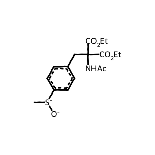 CCOC(=O)C(Cc1ccc([S+](C)[O-])cc1)(NC(C)=O)C(=O)OCC